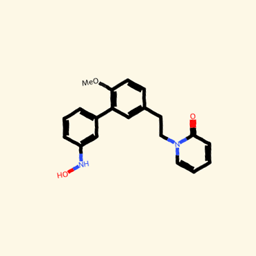 COc1ccc(CCn2ccccc2=O)cc1-c1cccc(NO)c1